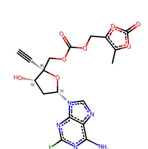 C#C[C@]1(COC(=O)OCc2oc(=O)oc2C)O[C@H](n2cnc3c(N)nc(F)nc32)C[C@@H]1O